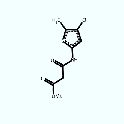 COC(=O)CC(=O)Nc1cc(Cl)c(C)s1